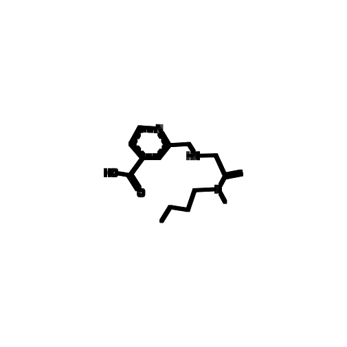 C=C(CNCc1cc(C(=O)O)ccn1)N(C)CCCC